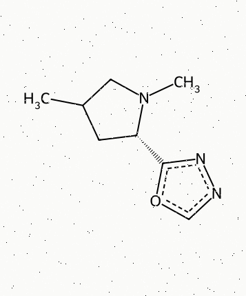 CC1C[C@@H](c2nnco2)N(C)C1